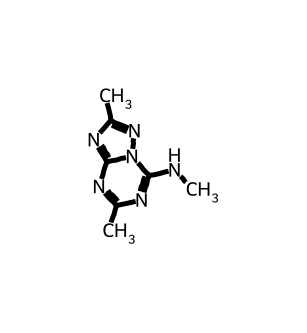 CNc1nc(C)nc2nc(C)nn12